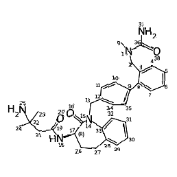 CN(Cc1ccccc1-c1ccc(CN2C(=O)[C@H](NC(=O)CC(C)(C)N)CCc3ccccc32)cc1)C(N)=O